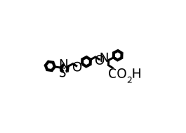 O=C(O)CC/C(=N\OCc1ccc(OCc2csc(-c3ccccc3)n2)cc1)c1ccccc1